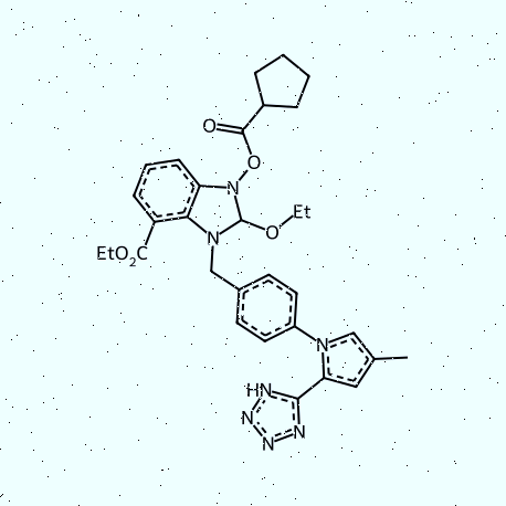 CCOC(=O)c1cccc2c1N(Cc1ccc(-n3cc(C)cc3-c3nnn[nH]3)cc1)C(OCC)N2OC(=O)C1CCCC1